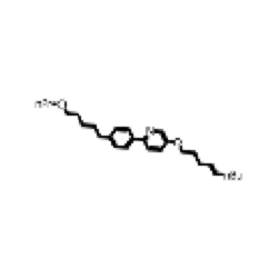 CCCCC=CCCCOc1ccc(-c2ccc(CCCCCOCCC)cc2)nc1